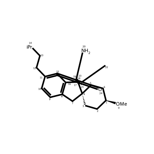 CO[C@H]1CC[C@]2(CC1)Cc1ccc(CCC(C)C)cc1C21N=C(N)N(C)C1=O